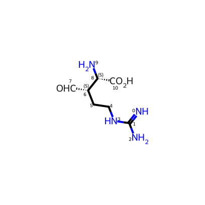 N=C(N)NCC[C@H](C=O)[C@H](N)C(=O)O